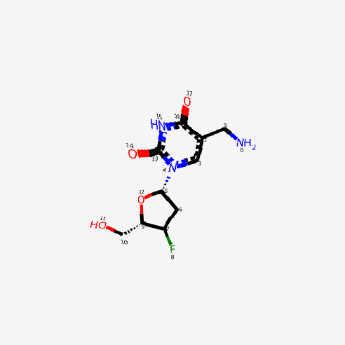 NCc1cn([C@@H]2CC(F)[C@H](CO)O2)c(=O)[nH]c1=O